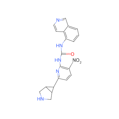 O=C(Nc1nc(C2C3CNCC32)ccc1[N+](=O)[O-])Nc1cccc2cnccc12